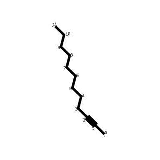 [CH2]C#CCCCCCCCC[CH2]